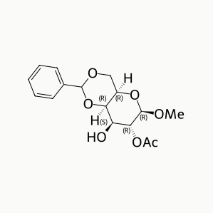 CO[C@@H]1O[C@@H]2COC(c3ccccc3)O[C@@H]2[C@H](O)[C@H]1OC(C)=O